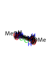 COC(=O)NC(C(=O)N1[C@@H]2C[C@@H]2C[C@H]1c1nc(-c2ccc(-c3ccc(-c4nc([C@@H]5C[C@H]6C[C@H]6N5C(=O)C(NC(=O)OC)[C@@H]5CCCOC5)[nH]c4Cl)cc3)cc2)c(Cl)[nH]1)[C@@H]1CCCOC1